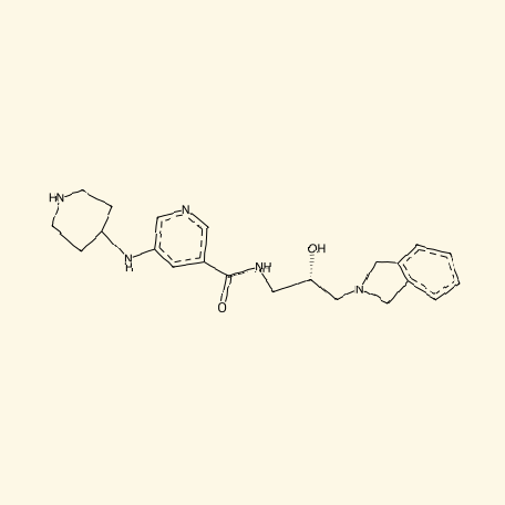 O=C(NC[C@H](O)CN1Cc2ccccc2C1)c1cncc(NC2CCNCC2)c1